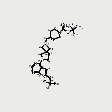 CC(C)(C)OC(=O)N1CCC(CN2CC3(CCN(c4ncnc5sc(CC(F)(F)F)cc45)C3)C2)CC1